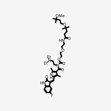 CCN(CC)CCN(C(=O)OCCOCCNC(=O)CCC(C)(C)OCCC(C)(C)OC)C(=O)c1c(C)[nH]c(/C=C2\C(=O)Nc3ccc(F)cc32)c1C